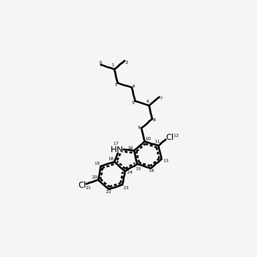 CC(C)CCCC(C)CCc1c(Cl)ccc2c1[nH]c1cc(Cl)ccc12